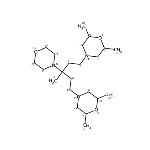 [CH2]C(CCN1CC(C)OC(C)C1)(CCN1CC(C)OC(C)C1)N1CCOCC1